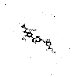 COc1cc(-c2cnc3cc(OCC4(O)CCN(C(=O)OC(C)(C)C)C4)ccn23)cc(ON(C)F)c1C(=O)NC1CC1